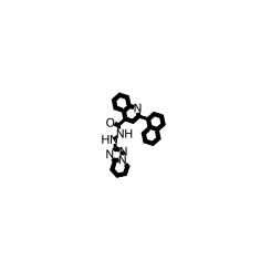 O=C(NNc1nc2ccccn2n1)c1cc(-c2cccc3ccccc23)nc2ccccc12